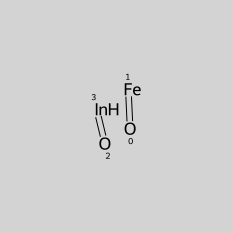 [O]=[Fe].[O]=[InH]